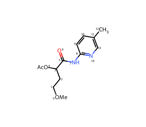 COCCC(OC(C)=O)C(=O)Nc1ccc(C)cn1